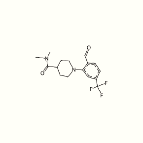 CN(C)C(=O)C1CCN(c2cc(C(F)(F)F)ccc2C=O)CC1